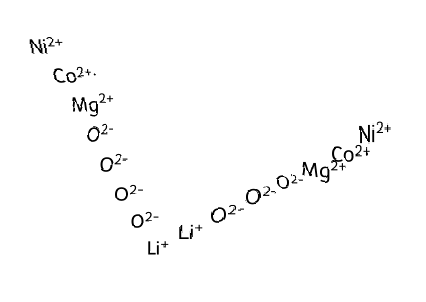 [Co+2].[Co+2].[Li+].[Li+].[Mg+2].[Mg+2].[Ni+2].[Ni+2].[O-2].[O-2].[O-2].[O-2].[O-2].[O-2].[O-2]